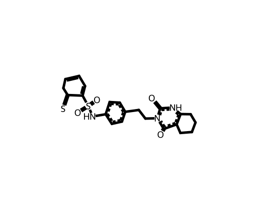 O=c1[nH]c2c(c(=O)n1CCc1ccc(NS(=O)(=O)C3=CC=CCC3=S)cc1)CCCC2